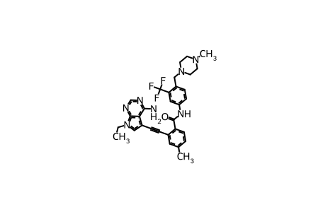 CCn1cc(C#Cc2cc(C)ccc2C(=O)Nc2ccc(CN3CCN(C)CC3)c(C(F)(F)F)c2)c2c(N)ncnc21